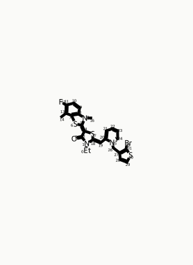 CCn1c(=O)/c(=C2\Sc3c(ccc(F)c3C)N2C)s/c1=C\c1cccc[n+]1Cc1ccsc1Br